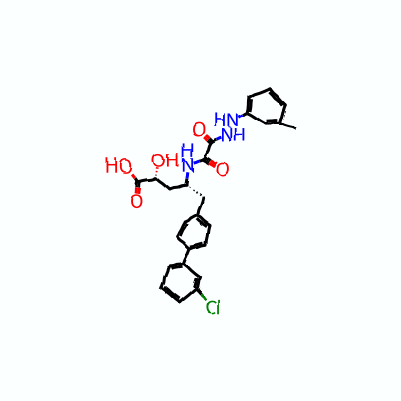 Cc1cccc(NNC(=O)C(=O)N[C@H](Cc2ccc(-c3cccc(Cl)c3)cc2)C[C@@H](O)C(=O)O)c1